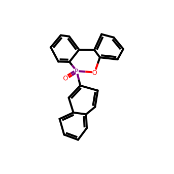 O=P1(c2ccc3ccccc3c2)Oc2ccccc2-c2ccccc21